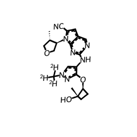 [2H]C([2H])([2H])n1cc(Nc2ncc3cc(C#N)n([C@H]4COC[C@@H]4C)c3n2)c(O[C@H]2CC[C@]2(C)O)n1